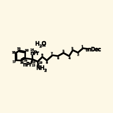 CCCCCCCCCCCCCCCCCCCC(N)C(CCC)(CCC)c1ccccc1.O